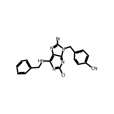 N#Cc1ccc(Cn2c(Br)nc3c(NCc4ccccc4)nc(Cl)nc32)cc1